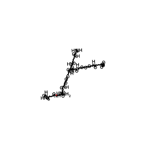 CC1(CCC(=O)NCCCCCC(=O)NCCCCC(NC(=O)CCC(=O)NCCCOCCOCCOCCCNC(=O)CCCCCN2C(=O)C=CC2=O)C(=O)NCCCOCCOCCOCCCNC(=O)CCC(=O)NC(CCCCNC(=O)CCCCC2SCC3NC(=O)NC32)C(N)=O)NN1